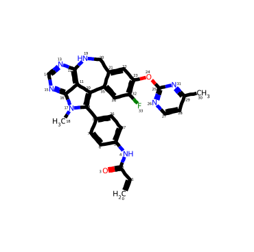 C=CC(=O)Nc1ccc(-c2c3c4c(ncnc4n2C)NCc2cc(Oc4nccc(C)n4)c(F)cc2-3)cc1